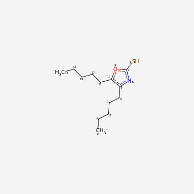 CCCCCc1nc(S)oc1CCCCC